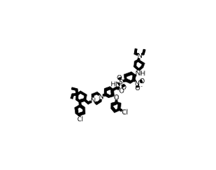 CCN(CC)C1CCC(Nc2ccc(S(=O)(=O)NC(=O)c3ccc(N4CCN(CC5=C(c6ccc(Cl)cc6)CC(CC)(CC)CC5)CC4)cc3Oc3cccc(Cl)c3)cc2[N+](=O)[O-])CC1